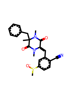 CN1C(=O)C(C)(Cc2ccccc2)N(C)C(=O)C1=Cc1cc([S+](C)[O-])ccc1C#N